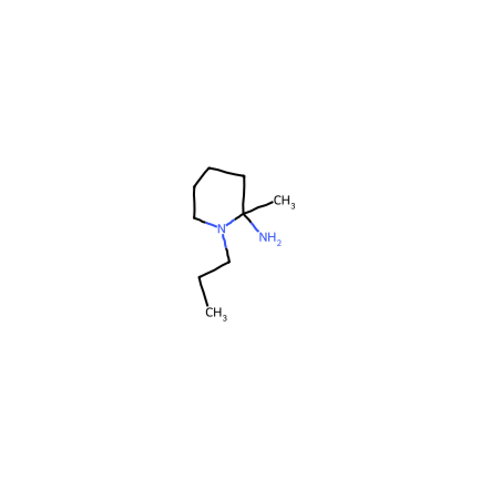 CCCN1CCCCC1(C)N